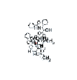 C=CC1(CC)O[C@H]2CC3=C(C)[C@@H](OC(=O)[C@H](O)[C@@H](NC(=O)c4ccccc4)c4ccccc4)C[C@@](O)([C@@H](OC(=O)c4ccccc4)[C@@H]4[C@]5(OC(C)=O)CC[C@@H]5C[C@H](O1)[C@@]24C)C3(C)C